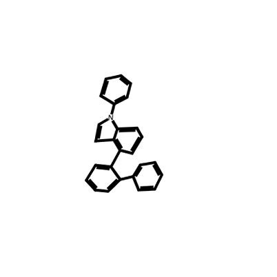 c1ccc(-c2ccccc2-c2cccc3c2ccn3-c2ccccc2)cc1